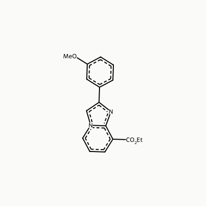 CCOC(=O)c1cccn2cc(-c3cccc(OC)c3)nc12